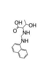 CC(O)C(NCNc1cccc2ccccc12)C(=O)O